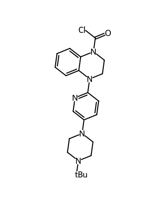 CC(C)(C)N1CCN(c2ccc(N3CCN(C(=O)Cl)c4ccccc43)nc2)CC1